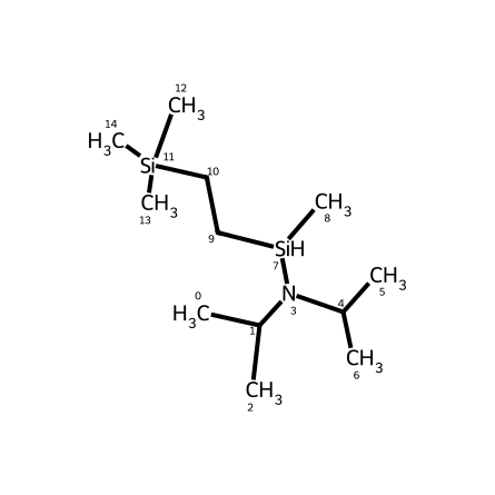 CC(C)N(C(C)C)[SiH](C)CC[Si](C)(C)C